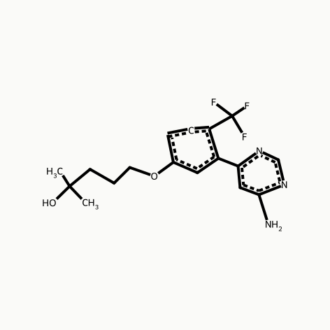 CC(C)(O)CCCOc1ccc(C(F)(F)F)c(-c2cc(N)ncn2)c1